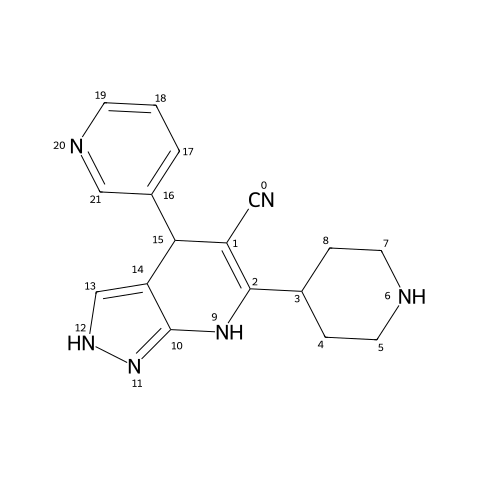 N#CC1=C(C2CCNCC2)Nc2n[nH]cc2C1c1cccnc1